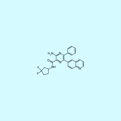 Nc1nc(-c2ccccc2)c(-c2ccc3ncccc3c2)nc1C(=O)NC1CCC(F)(F)C1